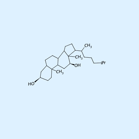 CC(C)CCCC(C)C1CCC2C3CCC4C[C@H](O)CCC4(C)C3C[C@H](O)C12C